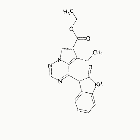 CCOC(=O)c1cn2ncnc(C3C(=O)Nc4ccccc43)c2c1CC